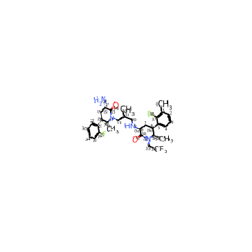 Cc1cccc([C@@H]2C[C@H](NCC(C)CN3C(=O)[C@@H](N)C[C@@H](c4ccccc4F)[C@H]3C)C(=O)N(CC(F)(F)F)[C@@H]2C)c1F